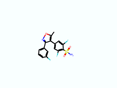 Cc1onc(-c2cccc(F)c2)c1-c1cc(F)c(S(N)(=O)=O)c(F)c1